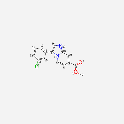 COC(=O)c1ccn2c(-c3cccc(Cl)c3)cnc2c1